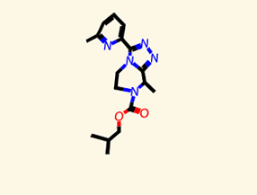 Cc1cccc(-c2nnc3n2CCN(C(=O)OCC(C)C)C3C)n1